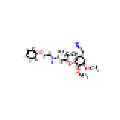 COc1cc(CC#N)cc(OC(CCNCCOc2ccccc2)C(C)C)c1OC